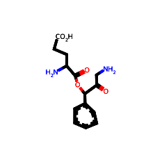 NCC(=O)C(OC(=O)C(N)CCC(=O)O)c1ccccc1